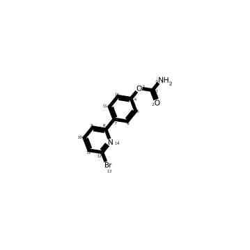 NC(=O)Oc1ccc(-c2cccc(Br)n2)cc1